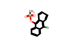 CS(=O)(=O)Oc1c2ccccc2c(Br)c2ccccc12